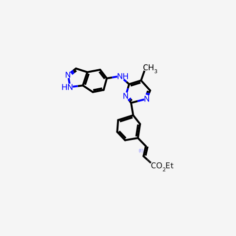 CCOC(=O)/C=C/c1cccc(-c2ncc(C)c(Nc3ccc4[nH]ncc4c3)n2)c1